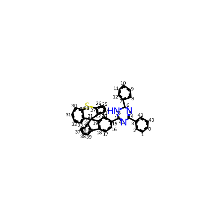 c1ccc(C2=NC(c3ccccc3)NC(c3ccc4c(c3)C3(c5ccccc5Sc5ccccc53)c3ccccc3-4)=N2)cc1